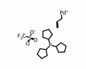 C1CCC(P(C2CCCC2)C2CCCC2)C1.C=C[CH2][Pd+].O=S(=O)([O-])C(F)(F)F